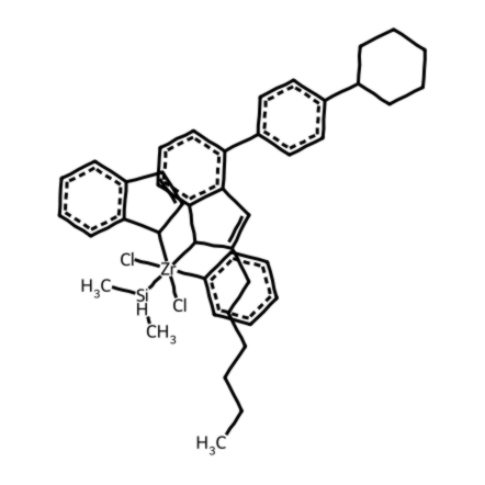 CCCCCCC1=Cc2c(-c3ccc(C4CCCCC4)cc3)cccc2[CH]1[Zr]([Cl])([Cl])([c]1ccccc1)([CH]1C=Cc2ccccc21)[SiH](C)C